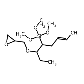 CC=CCC(C(CC)OCC1CO1)[Si](OC)(OC)OC